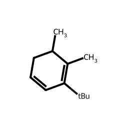 CC1=C(C(C)(C)C)C=CCC1C